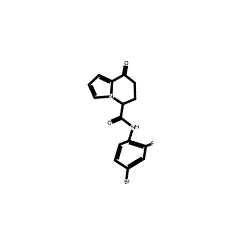 O=C1CCC(C(=O)Nc2ccc(Br)cc2F)n2cccc21